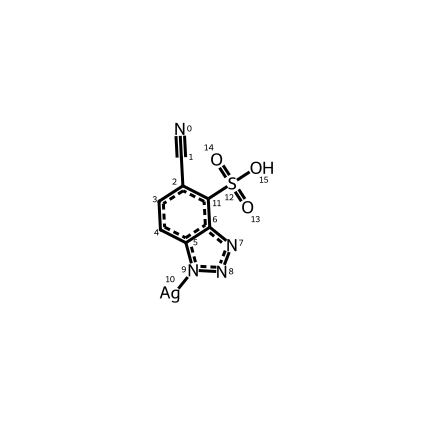 N#Cc1ccc2c(nn[n]2[Ag])c1S(=O)(=O)O